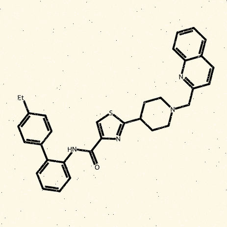 CCc1ccc(-c2ccccc2NC(=O)c2csc(C3CCN(Cc4ccc5ccccc5n4)CC3)n2)cc1